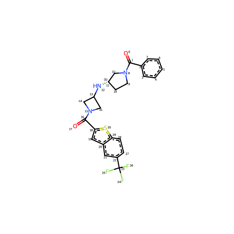 O=C(c1ccccc1)N1CC[C@H](NC2CN(C(=O)c3cc4cc(C(F)(F)F)ccc4s3)C2)C1